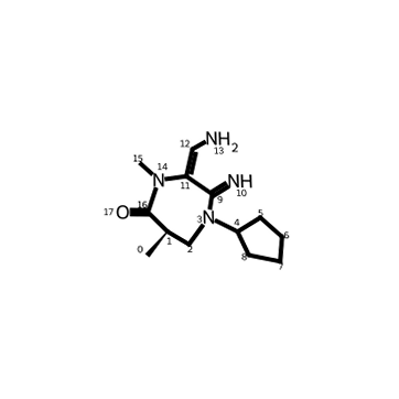 C[C@@H]1CN(C2CCCC2)C(=N)/C(=C\N)N(C)C1=O